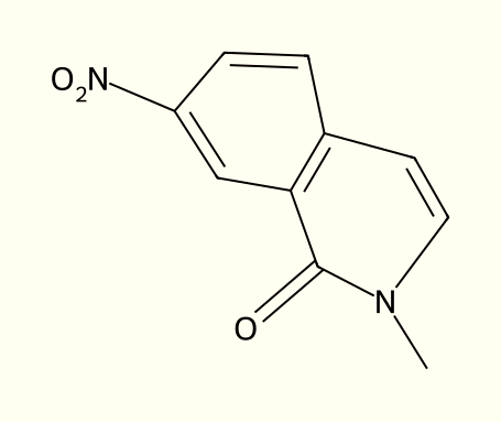 Cn1ccc2ccc([N+](=O)[O-])cc2c1=O